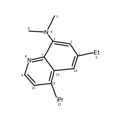 CCc1cc(N(C)C)c2nccc(C(C)C)c2c1